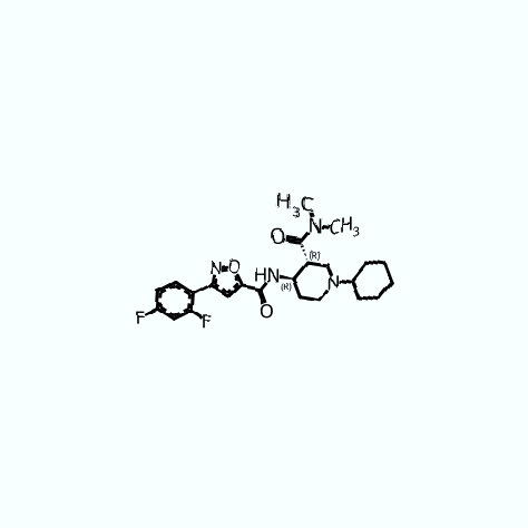 CN(C)C(=O)[C@@H]1CN(C2CCCCC2)CC[C@H]1NC(=O)c1cc(-c2ccc(F)cc2F)no1